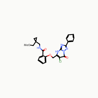 COCC1(CNC(=O)c2ccccc2OCc2[nH]c3nc(-c4ccccc4)nn3c(=O)c2Cl)CC1